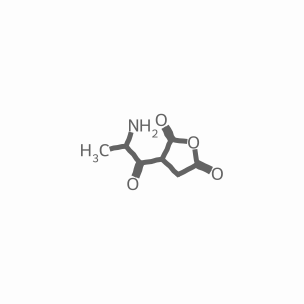 CC(N)C(=O)C1CC(=O)OC1=O